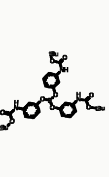 CC(C)(C)OC(=O)Nc1cccc(OB(Oc2cccc(NC(=O)OC(C)(C)C)c2)Oc2cccc(NC(=O)OC(C)(C)C)c2)c1